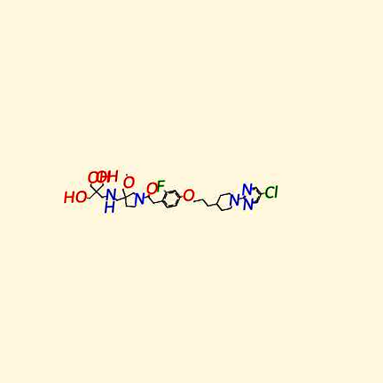 COCC1(CNCC(CO)(CO)CO)CCN(C(=O)Cc2ccc(OCCCC3CCN(c4ncc(Cl)cn4)CC3)cc2F)C1